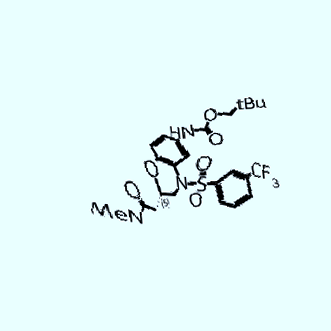 CNC(=O)C[C@H]1CN(S(=O)(=O)c2cccc(C(F)(F)F)c2)c2cc(NC(=O)OCC(C)(C)C)ccc2O1